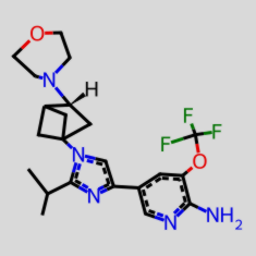 CC(C)c1nc(-c2cnc(N)c(OC(F)(F)F)c2)cn1C12CC(C1)[C@H](N1CCOCC1)C2